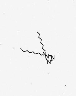 CCCCCCCCN(CCCCCCCC)N1C=NC=NC1